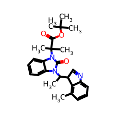 Cc1cccc2c1C(C(C)n1c(=O)n(C(C)(C)C(=O)OC(C)(C)C)c3ccccc31)C=N2